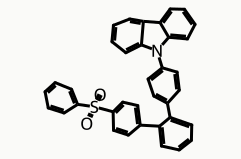 O=S(=O)(c1ccccc1)c1ccc(-c2ccccc2-c2ccc(-n3c4ccccc4c4ccccc43)cc2)cc1